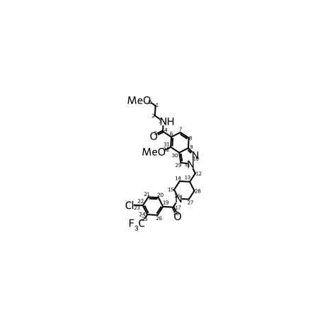 COCCNC(=O)c1ccc2nn(CC3CCN(C(=O)c4ccc(Cl)c(C(F)(F)F)c4)CC3)cc2c1OC